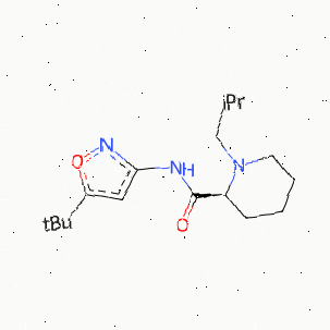 CC(C)CN1CCCC[C@H]1C(=O)Nc1cc(C(C)(C)C)on1